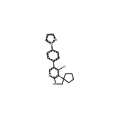 Clc1c(-c2ccc(-n3cccn3)cc2)cnc2c1C1(CCCC1)CN2